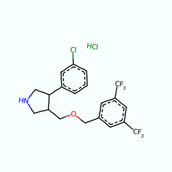 Cl.FC(F)(F)c1cc(COCC2CNCC2c2cccc(Cl)c2)cc(C(F)(F)F)c1